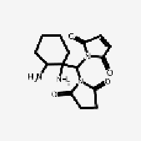 NC1CCCCC1(N)C(N1C(=O)C=CC1=O)N1C(=O)CCC1=O